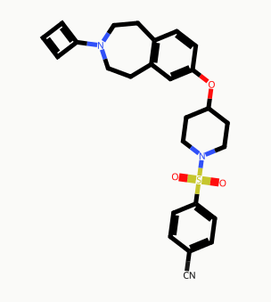 N#Cc1ccc(S(=O)(=O)N2CCC(Oc3ccc4c(c3)CCN(C3=CC=C3)CC4)CC2)cc1